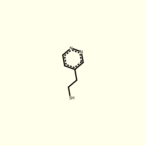 SCCc1ccnnc1